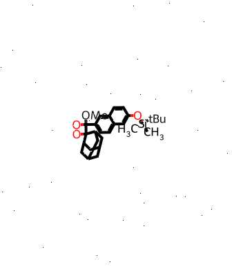 COC1(c2ccc3cc(O[Si](C)(C)C(C)(C)C)ccc3c2)OOC12C1CC3CC(C1)CC2C3